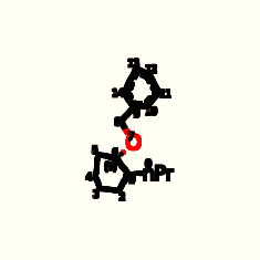 CCC[C@H]1CCCC[C@@H]1OCc1ccccc1